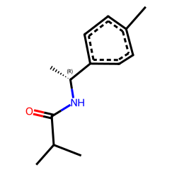 Cc1ccc([C@@H](C)NC(=O)C(C)C)cc1